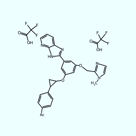 CC(=O)c1ccc(C2CC2Oc2cc(OCc3nccn3C)cc(-c3nc4cccnc4[nH]3)c2)cc1.O=C(O)C(F)(F)F.O=C(O)C(F)(F)F